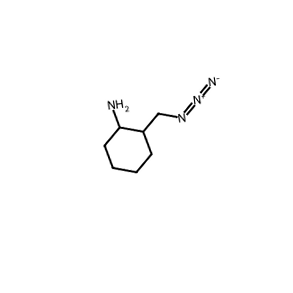 [N-]=[N+]=NCC1CCCCC1N